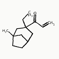 C=CC(=O)C1(CC)CC2CCC(C)(C2)C1